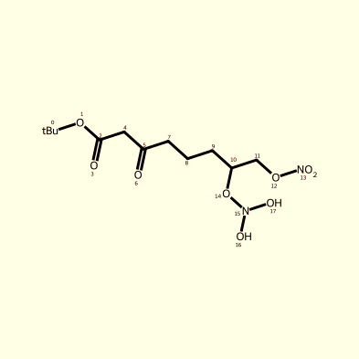 CC(C)(C)OC(=O)CC(=O)CCCC(CO[N+](=O)[O-])ON(O)O